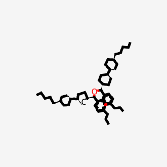 CCCCC[C@H]1CC[C@H]([C@H]2CC[C@H](C(OC(c3ccc(CCC)cc3)[C@H]3CC[C@H]([C@H]4CC[C@H](CCCCC)CC4)CC3)c3ccc(CCC)cc3)CC2)CC1